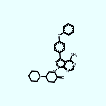 Nc1ncnc2c1c(-c1ccc(Oc3ccccc3)cc1)nn2[C@@H]1CC(N2CCCCC2)CCC1=O